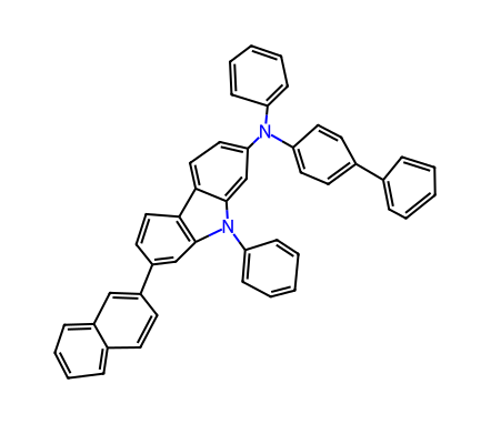 c1ccc(-c2ccc(N(c3ccccc3)c3ccc4c5ccc(-c6ccc7ccccc7c6)cc5n(-c5ccccc5)c4c3)cc2)cc1